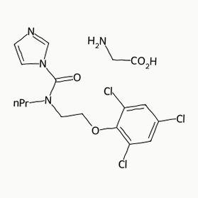 CCCN(CCOc1c(Cl)cc(Cl)cc1Cl)C(=O)n1ccnc1.NCC(=O)O